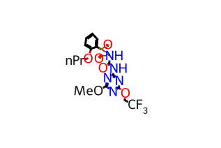 CCCOc1ccccc1S(=O)(=O)NC(=O)Nc1nc(OC)nc(OCC(F)(F)F)n1